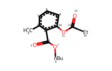 CCCCOC(=O)c1c(C)cccc1OC(=O)CC